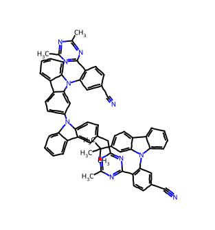 Cc1nc(C)nc(-c2ccc(C#N)cc2-n2c3ccccc3c3ccc(-n4c5ccccc5c5cc(Cc6nc(C)nc(-c7ccc(C#N)cc7-n7c8ccccc8c8ccc(C(C)(C)C)cc87)n6)ccc54)cc32)n1